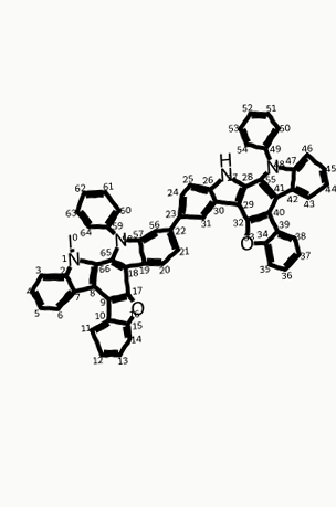 In1c2ccccc2c2c3c4ccccc4oc3c3c4ccc(-c5ccc6[nH]c7c(c6c5)c5oc6ccccc6c5c5c6ccccc6n(-c6ccccc6)c75)cc4n(-c4ccccc4)c3c21